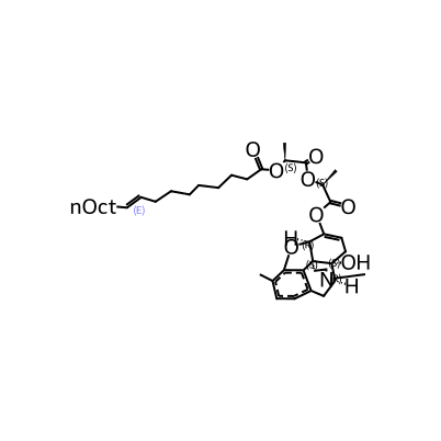 CCCCCCCC/C=C/CCCCCCCC(=O)O[C@@H](C)C(=O)O[C@@H](C)C(=O)OC1=CC[C@@]2(O)[C@H]3Cc4ccc(C)c5c4[C@@]2(CCN3C)[C@H]1O5